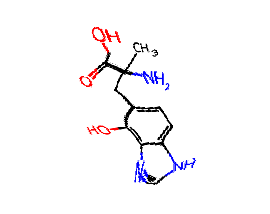 CC(N)(Cc1ccc2[nH]cnc2c1O)C(=O)O